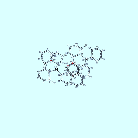 Cc1cccc(-c2ccccc2)c1N(c1ccccc1)c1ccc2ccc3ccc(N(c4ccccc4)c4c(C)cccc4-c4ccccc4)c4ccc1c2c34